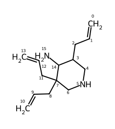 C=CCC1CNCC(CC=C)(CC=C)C1N